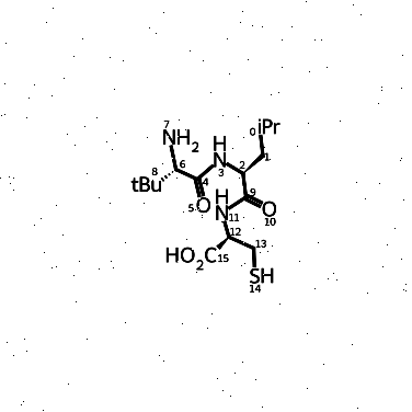 CC(C)C[C@H](NC(=O)[C@@H](N)C(C)(C)C)C(=O)N[C@@H](CS)C(=O)O